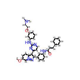 COc1ccc2c(-c3ccnc(Nc4cccc(OCCN(C)C)c4)n3)c(-c3cccc(NC(=O)C=Cc4ccccc4)c3)nn2c1